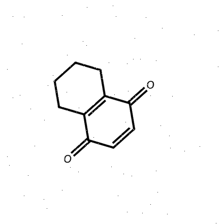 O=C1C=CC(=O)C2=C1CCCC2